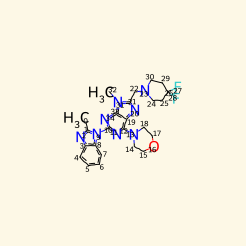 Cc1nc2ccccc2n1-c1nc(N2CCOCC2)c2nc(CN3CCC(F)(F)CC3)n(C)c2n1